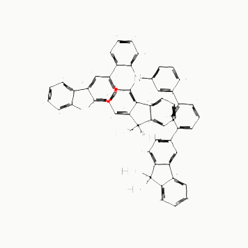 CC1(C)c2ccccc2-c2cc(-c3cccc(-c4cccc(N(c5ccccc5-c5ccc6sc7ccccc7c6c5)c5cccc6c5-c5ccccc5C6(C)C)c4)c3)ccc21